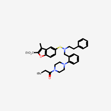 CCOC(=O)c1oc2ccc(SN(CCc3ccccc3)Cc3ccccc3N3CCN(C(=O)CC(C)(C)C)CC3)cc2c1C